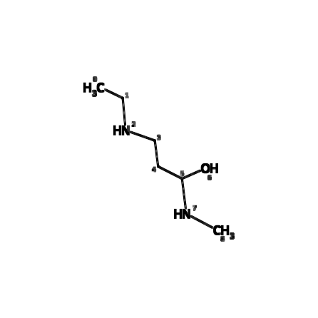 CCNCCC(O)NC